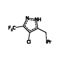 CC(C)Cc1[nH]nc(C(F)(F)F)c1Cl